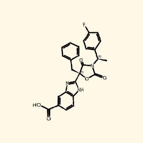 C[C@H](c1ccc(F)cc1)N1C(=O)O[C@](Cc2ccccc2)(c2nc3cc(C(=O)O)ccc3[nH]2)C1=O